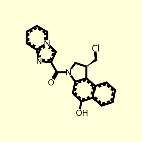 O=C(c1cn2ccccc2n1)N1C[C@@H](CCl)c2c1cc(O)c1ccccc21